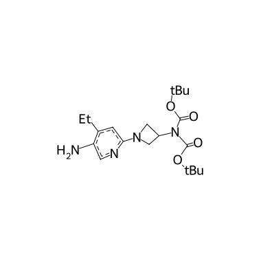 CCc1cc(N2CC(N(C(=O)OC(C)(C)C)C(=O)OC(C)(C)C)C2)ncc1N